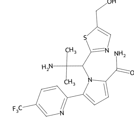 CC(C)(N)C(c1ncc(CO)s1)n1c(C(N)=O)ccc1-c1ccc(C(F)(F)F)cn1